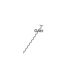 CCCCCCCCCCCCCCCC(=O)NCCC(C)C